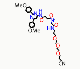 COc1ccc(-c2cc(NC(=O)CCC(=O)N(C)CC(=O)NCCCOCCOCCOCCCC#N)nc(-c3ccc(OC)cc3)n2)cc1